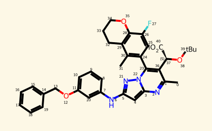 Cc1nc2cc(Nc3cccc(OCc4ccccc4)c3)nn2c(-c2cc(F)c3c(c2C)CCCO3)c1[C@H](OC(C)(C)C)C(=O)O